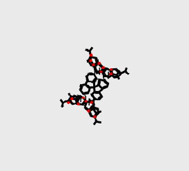 CC(C)c1ccc(N(c2ccc(C(C)C)cc2)c2ccc3c(c2)C2(c4cc(N(c5ccc(C(C)C)cc5)c5ccc(C(C)C)cc5)ccc4-3)c3cc(N(c4ccc(C(C)C)cc4)c4ccc(C(C)C)cc4)ccc3-c3ccc(N(c4ccc(C(C)C)cc4)c4ccc(C(C)C)cc4)cc32)cc1